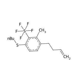 C=CCCc1ccc(SCCCC)c(S(F)(F)(F)(F)F)c1C